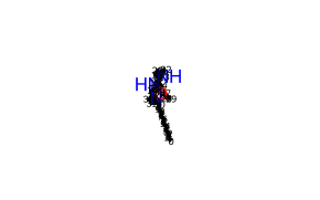 CCCCCCCCCCCC1=NC(=Cc2[nH]c(-c3ccc(C)[nH]3)cc2OCCC)C=C1